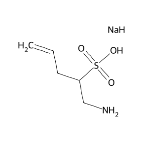 C=CCC(CN)S(=O)(=O)O.[NaH]